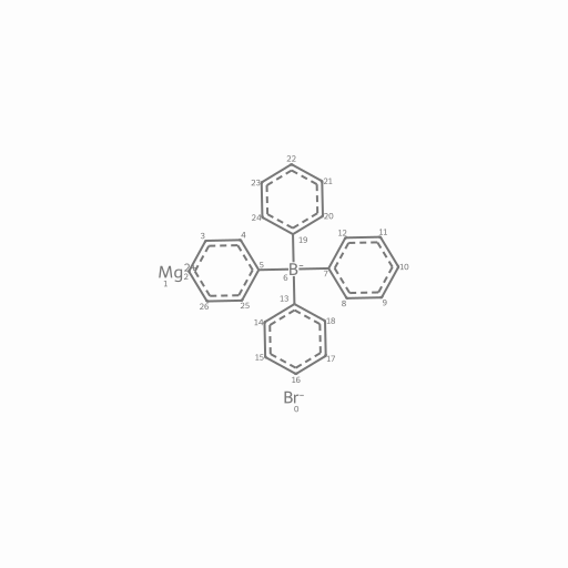 [Br-].[Mg+2].c1ccc([B-](c2ccccc2)(c2ccccc2)c2ccccc2)cc1